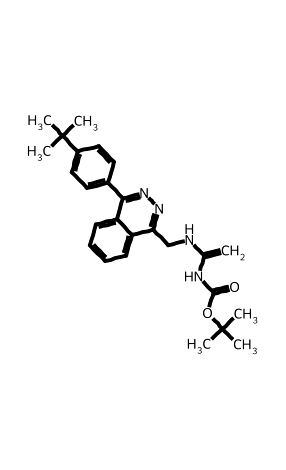 C=C(NCc1nnc(-c2ccc(C(C)(C)C)cc2)c2ccccc12)NC(=O)OC(C)(C)C